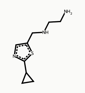 NCCNCc1cnc(C2CC2)s1